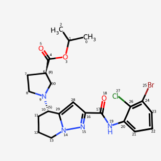 CC(C)OC(=O)[C@@H]1CCN([C@H]2CCCn3nc(C(=O)Nc4cccc(Br)c4Cl)cc32)C1